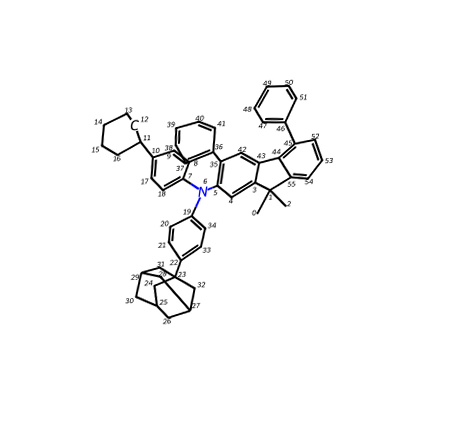 CC1(C)c2cc(N(c3ccc(C4CCCCC4)cc3)c3ccc(C45CC6CC(CC(C6)C4)C5)cc3)c(-c3ccccc3)cc2-c2c(-c3ccccc3)cccc21